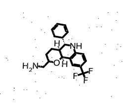 NCC1CC[C@@H]2[C@H](O1)c1cc(C(F)(F)F)ccc1N[C@H]2C1C=CC=CC1